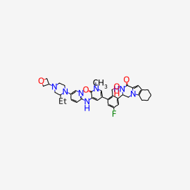 CCC1CN(C2COC2)CCN1c1ccc(Nc2cc(-c3cc(F)cc(C4Cn5c(cc6c5CCCC6)C(=O)N4)c3CO)cn(C)c2=O)nc1